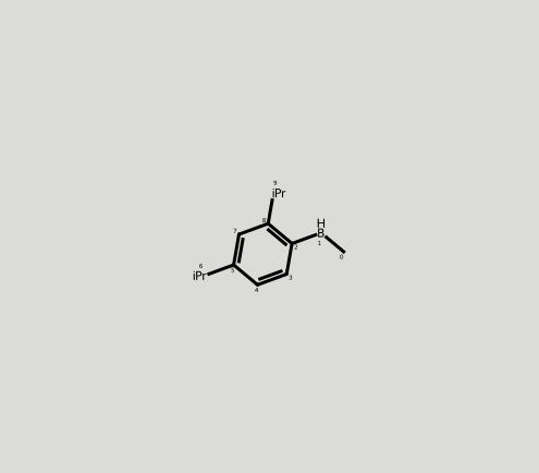 CBc1ccc(C(C)C)cc1C(C)C